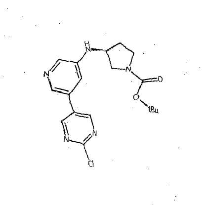 CC(C)(C)OC(=O)N1CC[C@H](Nc2cncc(-c3cnc(Cl)nc3)c2)C1